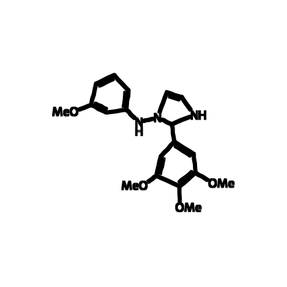 COc1cccc(NN2C=CNC2c2cc(OC)c(OC)c(OC)c2)c1